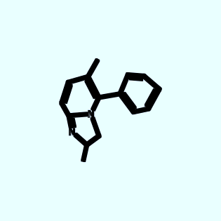 CC1=C(c2ccccc2)N2CC(C)N=C2C=C1